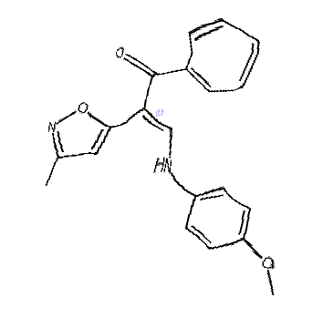 COc1ccc(N/C=C(/C(=O)c2ccccc2)c2cc(C)no2)cc1